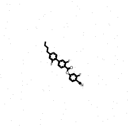 CCCCc1ccc(-c2ccc(C(=O)Oc3ccc(C#N)c(F)c3)c(F)c2)c(F)c1